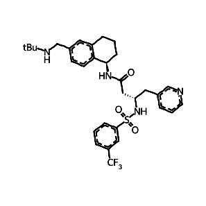 CC(C)(C)NCc1ccc2c(c1)CCC[C@H]2NC(=O)C[C@H](Cc1cccnc1)NS(=O)(=O)c1cccc(C(F)(F)F)c1